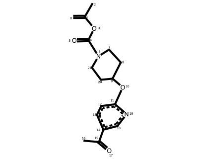 C=C(C)OC(=O)N1CCC(Oc2ccc(C(C)=O)cn2)CC1